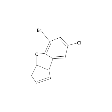 Clc1cc(Br)c2c(c1)C1C=CCC1O2